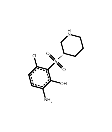 Nc1ccc(Cl)c(S(=O)(=O)[C@H]2CCCNC2)c1O